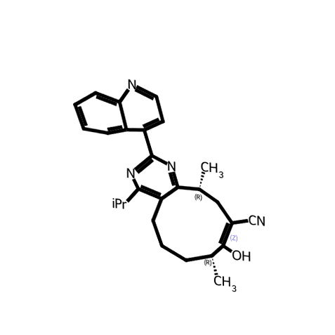 CC(C)c1nc(-c2ccnc3ccccc23)nc2c1CCC[C@@H](C)/C(O)=C(/C#N)C[C@H]2C